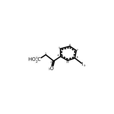 O=C(O)CC(=O)c1cccc(I)c1